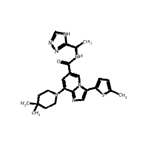 Cc1ccc(-c2cnc3c(N4CCC(C)(C)CC4)cc(C(=O)NC(C)c4nnc[nH]4)cn23)s1